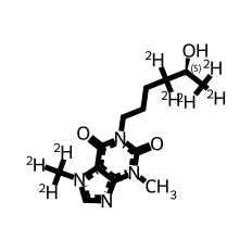 [2H]C([2H])([2H])[C@H](O)C([2H])([2H])CCCn1c(=O)c2c(ncn2C([2H])([2H])[2H])n(C)c1=O